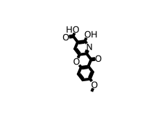 COc1ccc2oc3cc(C(=O)O)c(O)nc3c(=O)c2c1